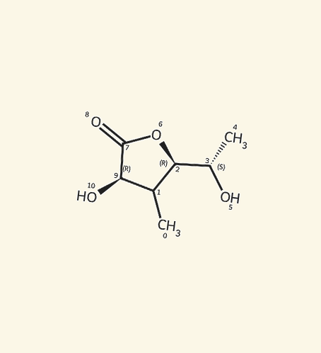 CC1[C@H]([C@H](C)O)OC(=O)[C@@H]1O